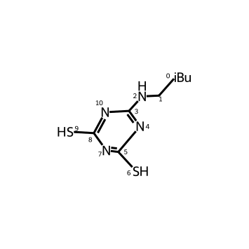 CCC(C)CNc1nc(S)nc(S)n1